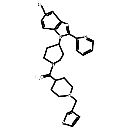 C=C(C1CCN(Cc2ccsc2)CC1)N1CCC(n2c(-c3ccccn3)nc3cc(Cl)ccc32)CC1